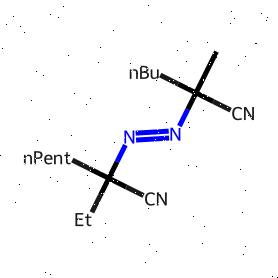 CCCCCC(C#N)(CC)N=NC(C)(C#N)CCCC